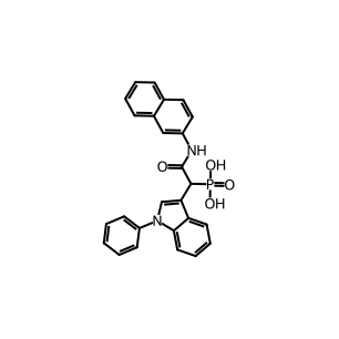 O=C(Nc1ccc2ccccc2c1)C(c1cn(-c2ccccc2)c2ccccc12)P(=O)(O)O